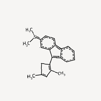 CC1=CC(C)=C(C2=c3ccccc3=c3ccc(=[Si](C)C)[c]c32)C1